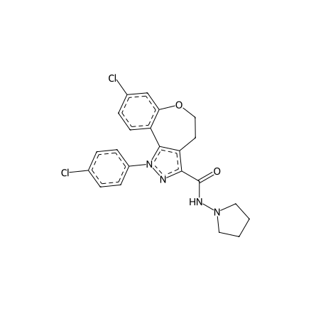 O=C(NN1CCCC1)c1nn(-c2ccc(Cl)cc2)c2c1CCOc1cc(Cl)ccc1-2